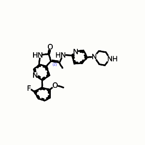 COc1cccc(F)c1-c1cc2c(cn1)NC(=O)/C2=C(/C)Nc1ccc(N2CCNCC2)cn1